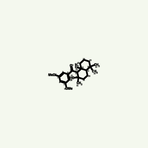 COc1cc(OC)cc(C(=O)C2C(C)(O)CCC3C(C)(C)CCCC32C)c1